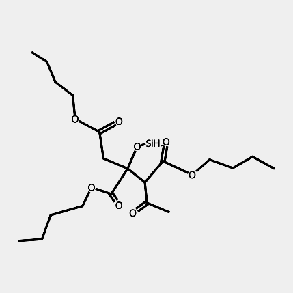 CCCCOC(=O)CC(O[SiH3])(C(=O)OCCCC)C(C(C)=O)C(=O)OCCCC